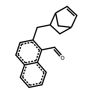 O=Cc1c(CC2CC3C=CC2C3)ccc2ccccc12